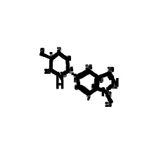 C[C@H]1CC[C@H](c2ccc3c(cnn3C)c2)NC1